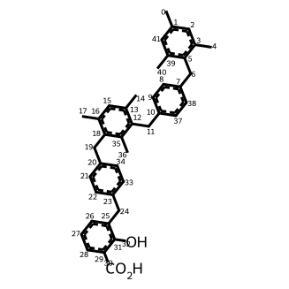 Cc1cc(C)c(Cc2ccc(Cc3c(C)cc(C)c(Cc4ccc(Cc5cccc(C(=O)O)c5O)cc4)c3C)cc2)c(C)c1